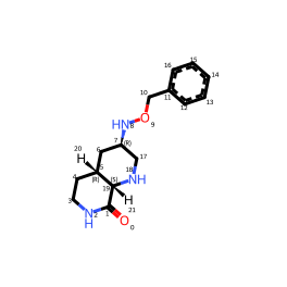 O=C1NCC[C@@H]2C[C@@H](NOCc3ccccc3)CN[C@H]12